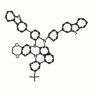 Cc1cc2c3c(c1)N(c1ccc(C(C)(C)C)cc1-c1ccccc1)c1cc4c(cc1B3c1cc(-c3ccc5c(c3)sc3ccccc35)ccc1N2c1ccc(-c2ccc3c(c2)sc2ccccc23)cc1)OCCO4